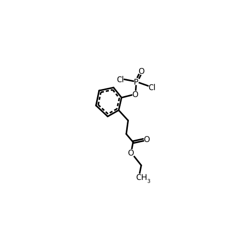 CCOC(=O)CCc1ccccc1OP(=O)(Cl)Cl